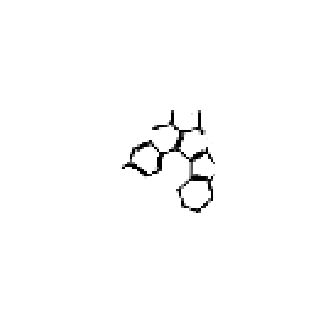 Cc1nc2sc3c(c2c(-c2ccc(OC(F)(F)F)cc2)c1C(C)C(=O)O)CCCC3